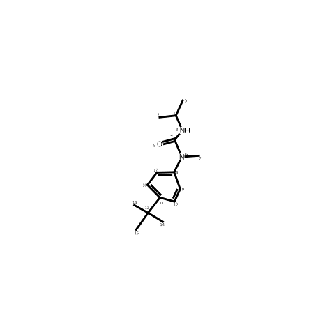 CC(C)NC(=O)N(C)c1ccc(C(C)(C)C)cc1